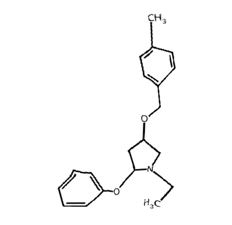 CCN1CC(OCc2ccc(C)cc2)CC1Oc1ccccc1